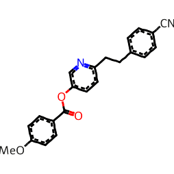 COc1ccc(C(=O)Oc2ccc(CCc3ccc(C#N)cc3)nc2)cc1